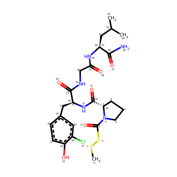 CSSC(=O)N1CCC[C@H]1C(=O)N[C@@H](Cc1ccc(O)c(Cl)c1)C(=O)NCC(=O)N[C@@H](CC(C)C)C(N)=O